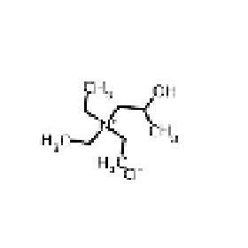 CC[N+](CC)(CC)CC(C)O.[Cl-]